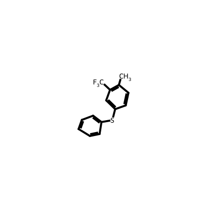 Cc1ccc(Sc2ccccc2)cc1C(F)(F)F